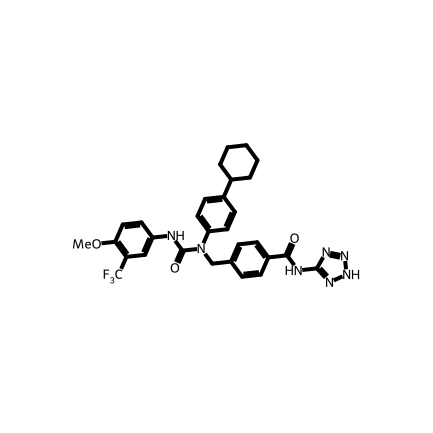 COc1ccc(NC(=O)N(Cc2ccc(C(=O)Nc3nn[nH]n3)cc2)c2ccc(C3CCCCC3)cc2)cc1C(F)(F)F